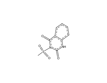 CS(=O)(=O)n1c(=O)[nH]c2ccccc2c1=O